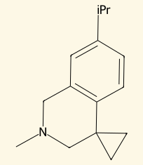 CC(C)c1ccc2c(c1)CN(C)CC21CC1